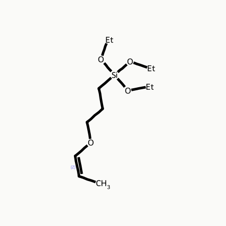 C/C=C\OCCC[Si](OCC)(OCC)OCC